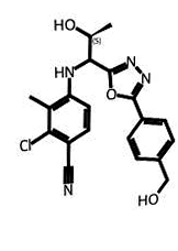 Cc1c(NC(c2nnc(-c3ccc(CO)cc3)o2)[C@H](C)O)ccc(C#N)c1Cl